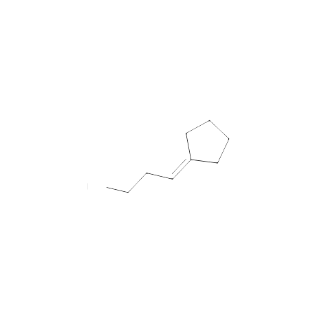 [CH2]CCC=C1CCCC1